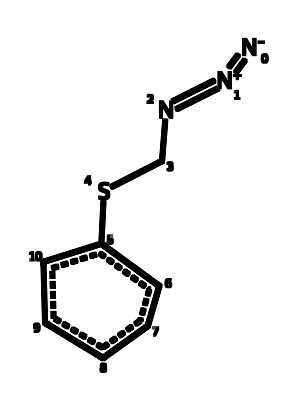 [N-]=[N+]=NCSc1ccccc1